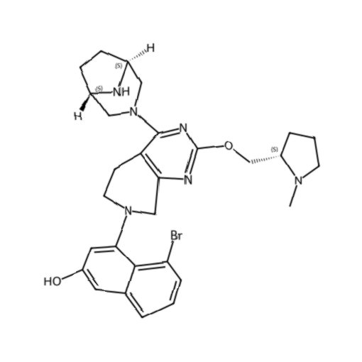 CN1CCC[C@H]1COc1nc2c(c(N3C[C@@H]4CC[C@@H](C3)N4)n1)CCN(c1cc(O)cc3cccc(Br)c13)C2